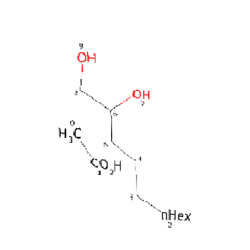 CC(=O)O.CCCCCCCCCC(O)CO